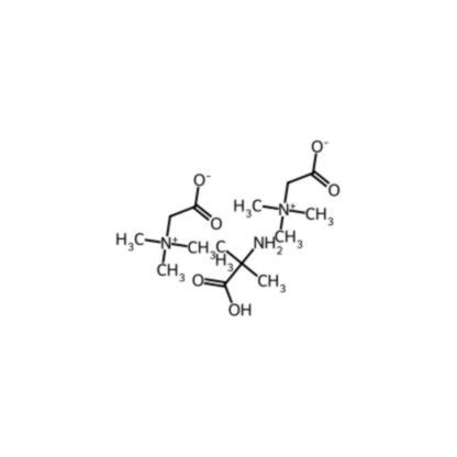 CC(C)(N)C(=O)O.C[N+](C)(C)CC(=O)[O-].C[N+](C)(C)CC(=O)[O-]